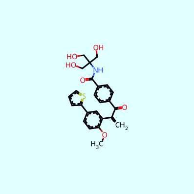 C=C(C(=O)c1ccc(C(=O)NC(CO)(CO)CO)cc1)c1cc(-c2cccs2)ccc1OC